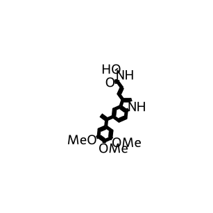 C=C(c1cc(OC)c(OC)c(OC)c1)c1ccc2[nH]cc(/C=C/C(=O)NO)c2c1